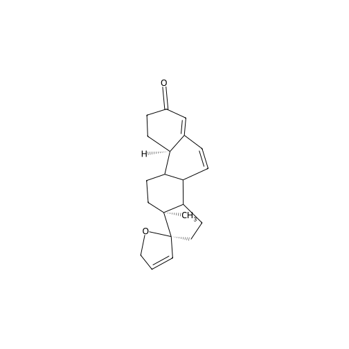 C[C@]12CCC3C(C=CC4=CC(=O)CC[C@@H]43)C1CC[C@@]21C=CCO1